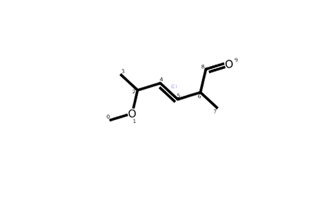 COC(C)/C=C/C(C)C=O